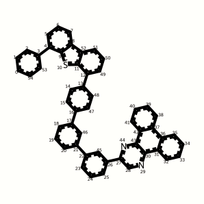 c1ccc(-c2cccc3c2sc2c(-c4ccc(-c5cccc(-c6cccc(-c7cnc8c9ccccc9c9ccccc9c8n7)c6)c5)cc4)cccc23)cc1